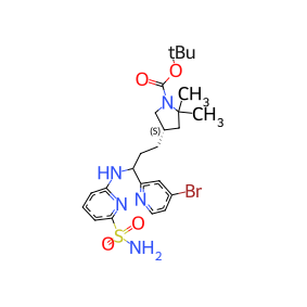 CC(C)(C)OC(=O)N1C[C@@H](CCC(Nc2cccc(S(N)(=O)=O)n2)c2cc(Br)ccn2)CC1(C)C